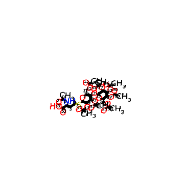 CC(=O)NC(CCS[C@@H]1O[C@H](COC(C)=O)[C@@H](O[C@H]2O[C@H](COC(C)=O)[C@@H](OC(C)=O)[C@H](OC(C)=O)[C@H]2OC(C)=O)[C@H](OC(C)=O)[C@H]1OC(C)=O)C(=O)O